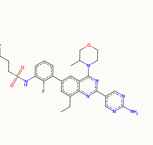 CCc1cc(-c2cccc(NS(=O)(=O)CCCF)c2F)cc2c(N3CCOCC3C)nc(-c3cnc(N)nc3)nc12